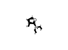 CCN(CC)c1occc1C